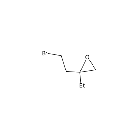 CCC1(CCBr)CO1